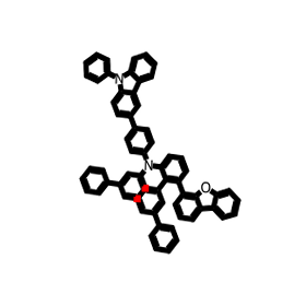 c1ccc(-c2cccc(-c3c(-c4cccc5c4oc4ccccc45)cccc3N(c3ccc(-c4ccc5c(c4)c4ccccc4n5-c4ccccc4)cc3)c3cccc(-c4ccccc4)c3)c2)cc1